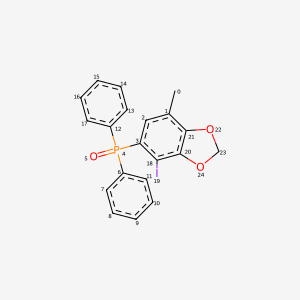 Cc1cc(P(=O)(c2ccccc2)c2ccccc2)c(I)c2c1OCO2